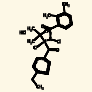 CCc1ccc(C(=O)[N+](Cl)(N(Cl)C(=O)c2cccc(C)c2C)C(C)(C)C)cc1.Cl